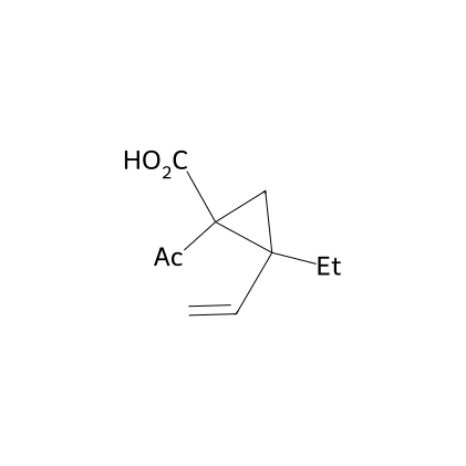 C=CC1(CC)CC1(C(C)=O)C(=O)O